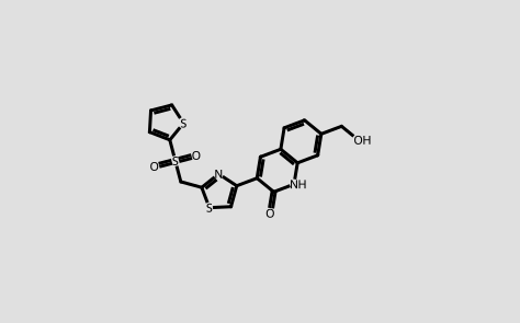 O=c1[nH]c2cc(CO)ccc2cc1-c1csc(CS(=O)(=O)c2cccs2)n1